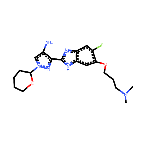 CN(C)CCCOc1cc2[nH]c(-c3nn(C4CCCCO4)cc3N)nc2cc1F